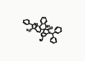 Cc1c(-c2ccccc2)[nH]c2c3c(ccc12)C1(Nc2ccccc2-3)C(=O)N(C(c2ccccc2)c2ccccc2)c2cc(Br)ccc21